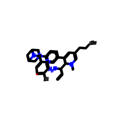 C=CC(N)C1C(c2ccc(N3CC4CC(C3)N4CC(/C=C\C(=C)CC)=C/C)nc2)=CC(CCC(C)(C)C)=CN1C